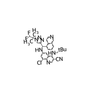 CC(C)(C)CNc1c(C#N)cnc2c(Cl)cc(NC(c3cn(C(C)(C)C(F)F)nn3)c3cccc4cnccc34)cc12